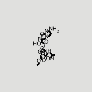 CCOC(=O)COP(=O)(N[C@@H](CC(C)C)C(=O)O)OC[C@H]1O[C@@H](n2ccc(N)nc2=O)C(F)(F)[C@@H]1O